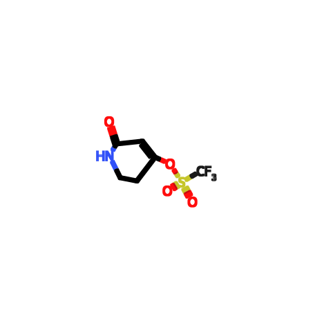 O=C1C=C(OS(=O)(=O)C(F)(F)F)CCN1